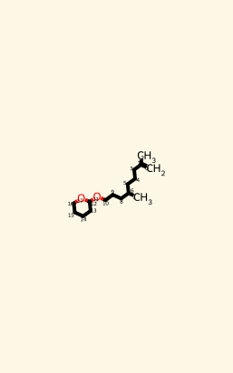 C=C(C)CCCC(C)CCCOC1CCCCO1